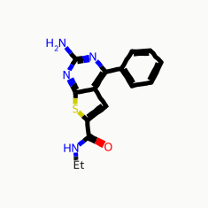 CCNC(=O)c1cc2c(-c3ccccc3)nc(N)nc2s1